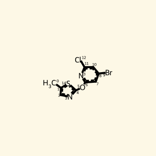 Cc1cnc(Oc2cc(Br)cc(Cl)n2)s1